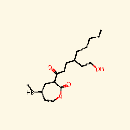 CBC1CCOC(=O)C(C(=O)CCC(CCO)CCCCC)C1